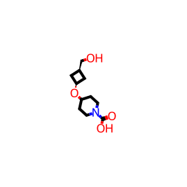 O=C(O)N1CCC(O[C@H]2C[C@H](CO)C2)CC1